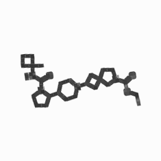 CCOC(=O)N1CCC2(CC(N3CCC(C4CCCN4C(=O)NC4(C)CCC4)CC3)C2)C1